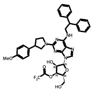 COc1ccc(C2CCN(c3nc(NCC(c4ccccc4)c4ccccc4)c4ncn([C@@H]5O[C@H](CO)[C@@H](OC(=O)C(F)(F)F)[C@H]5O)c4n3)C2)cc1